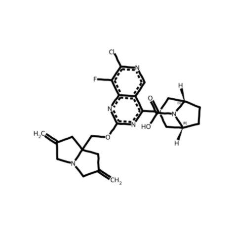 C=C1CN2CC(=C)CC2(COc2nc(N3C[C@H]4CC[C@@H](C3)N4C(=O)O)c3cnc(Cl)c(F)c3n2)C1